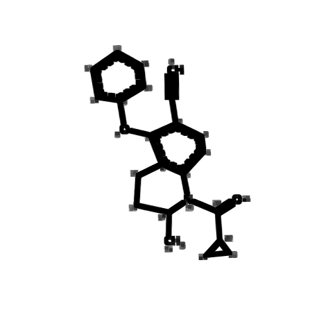 C#Cc1ccc2c(c1Oc1ccccc1)CCC(C)N2C(=O)C1CC1